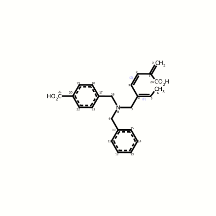 C=C(/C=C\C(=C/C)CN(Cc1ccccc1)Cc1ccc(C(=O)O)cc1)C(=O)O